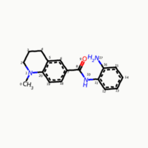 CN1CCCc2cc(C(=O)Nc3ccccc3N)ccc21